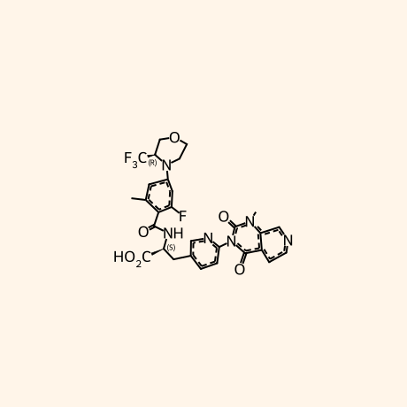 Cc1cc(N2CCOC[C@@H]2C(F)(F)F)cc(F)c1C(=O)N[C@@H](Cc1ccc(-n2c(=O)c3ccncc3n(C)c2=O)nc1)C(=O)O